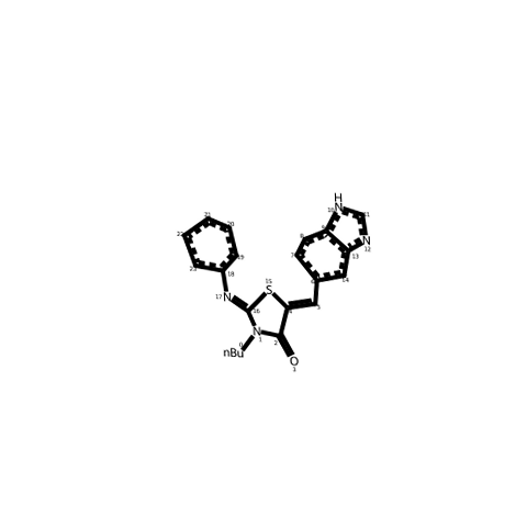 CCCCN1C(=O)C(=Cc2ccc3[nH]cnc3c2)SC1=Nc1ccccc1